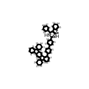 C1=C2C(=CC3c4ccccc4C4(CCCCC4)C13)C1(CCCCC1)c1cccc(-c3ccc(-c4ccc(C5Nc6sc7c(c6C(c6ccccc6)N5)=CCCC=7)cc4)cc3)c12